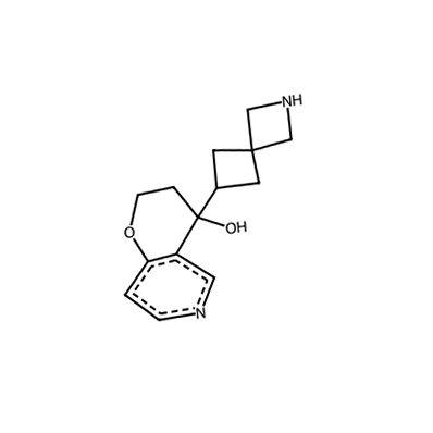 OC1(C2CC3(CNC3)C2)CCOc2ccncc21